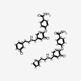 NC(=O)c1ccc(Oc2ncc(CNCCc3cccc(Cl)c3)cc2Cl)cc1.NC(=O)c1ccc(Oc2ncc(CNCCc3cccs3)cc2Cl)cc1